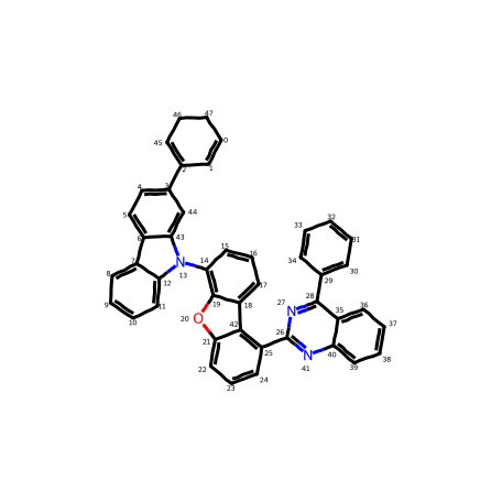 C1=CC(c2ccc3c4ccccc4n(-c4cccc5c4oc4cccc(-c6nc(-c7ccccc7)c7ccccc7n6)c45)c3c2)=CCC1